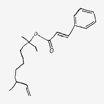 C=CC(C)CCCC(C)(C)OC(=O)C=Cc1ccccc1